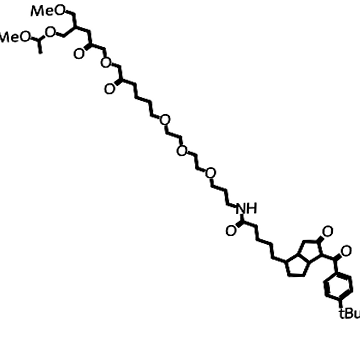 COCC(COC(C)OC)CC(=O)COCC(=O)CCCCOCCOCCOCCCNC(=O)CCCCC1CCC2C(C(=O)c3ccc(C(C)(C)C)cc3)C(=O)CC12